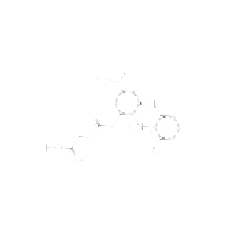 ClCCl.O=C(O)COC(=O)Cc1ccccc1Nc1c(Cl)cccc1Cl